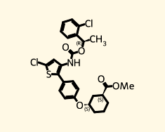 COC(=O)[C@H]1CCC[C@H](Oc2ccc(-c3sc(Cl)cc3NC(=O)O[C@H](C)c3ccccc3Cl)cc2)C1